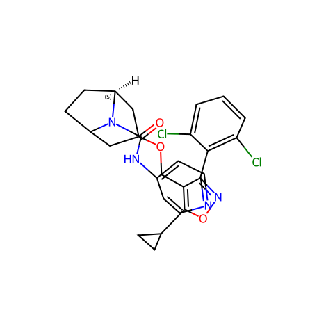 O=C(Nc1ccncc1)N1C2CC[C@H]1CC(OCc1c(-c3c(Cl)cccc3Cl)noc1C1CC1)C2